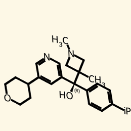 CC(C)c1ccc([C@](O)(c2cncc(C3CCOCC3)c2)C2(C)CN(C)C2)cc1